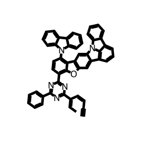 C#C/C=C\C(=C/C)c1nc(-c2ccccc2)nc(-c2ccc(-n3c4ccccc4c4ccccc43)c3c2oc2cc4c5cccc6c7ccccc7n(c4cc23)c65)n1